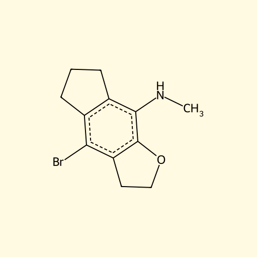 CNc1c2c(c(Br)c3c1OCC3)CCC2